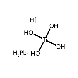 [Hf].[OH][Ti]([OH])([OH])[OH].[PbH2]